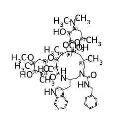 CO[C@]1(C)C[C@H](O[C@H]2[C@H](C)[C@@H](O[C@@H]3O[C@H](C)C[C@H](N(C)C)[C@H]3O)[C@](C)(O)C[C@@H](C)CN(C(=O)NCc3ccccc3)CC(Cc3c[nH]c4ccccc34)NC(=O)[C@@H]2C)O[C@@H](C)[C@@H]1O